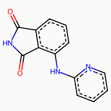 O=C1NC(=O)c2c(Nc3ccccn3)cccc21